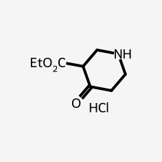 CCOC(=O)C1CNCCC1=O.Cl